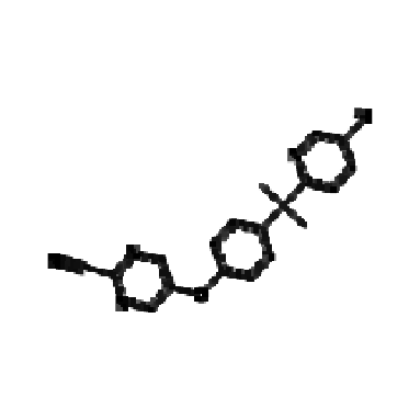 [2H]c1ccc(C(C)(C)c2ccc(Oc3cnc(C#N)nc3)cc2)nc1